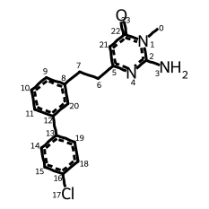 Cn1c(N)nc(CCc2cccc(-c3ccc(Cl)cc3)c2)cc1=O